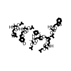 CC(C)COC(=O)[C@H](C)NC(=O)Cc1ccc(Cl)s1.CC(C)COC(=O)[C@H](C)NC(=O)Cc1ccsc1Sc1ccccc1.CC(C)COC(=O)[C@H](C)NC(=O)Cc1csc2ccccc12.COc1ccc2cc(CC(=O)N[C@@H](C)C(=O)OCC(C)C)sc2c1.Cc1cc(CC(=O)N[C@@H](C)C(=O)OCC(C)C)on1